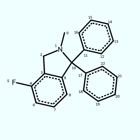 CN1Cc2c(F)cccc2C1(c1ccccc1)c1ccccc1